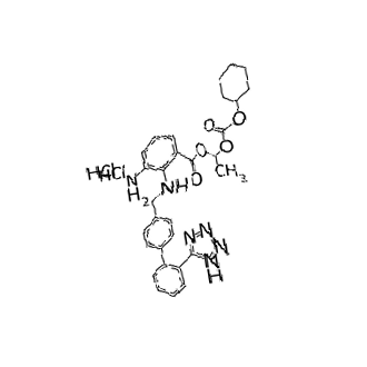 CC(OC(=O)OC1CCCCC1)OC(=O)c1cccc(N)c1NCc1ccc(-c2ccccc2-c2nnn[nH]2)cc1.Cl.Cl